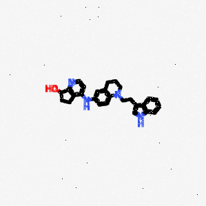 OC1CCc2c(Nc3ccc4c(c3)CCCN4CCc3c[nH]c4ccccc34)ccnc21